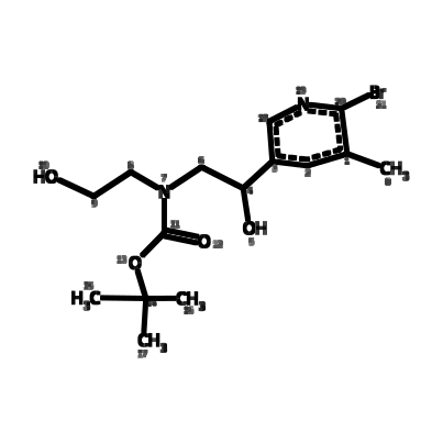 Cc1cc(C(O)CN(CCO)C(=O)OC(C)(C)C)cnc1Br